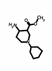 COC(=O)C1CN(C2CCCCC2)CCC1N